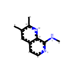 CNc1nccc2cc(C)c(C)nc12